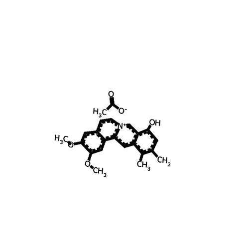 CC(=O)[O-].COc1cc2cc[n+]3cc4c(O)cc(C)c(C)c4cc3c2cc1OC